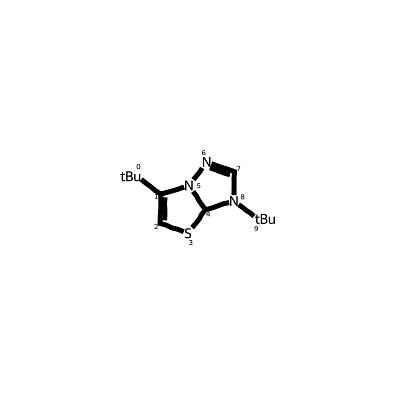 CC(C)(C)C1=CSC2N1N=CN2C(C)(C)C